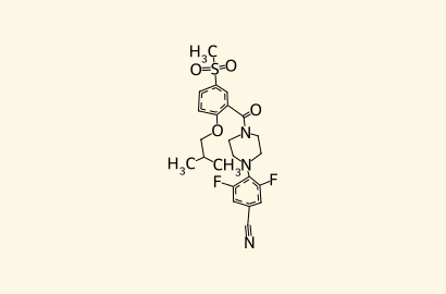 CC(C)COc1ccc(S(C)(=O)=O)cc1C(=O)N1CCN(c2c(F)cc(C#N)cc2F)CC1